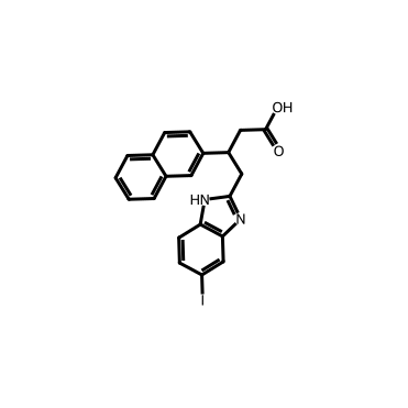 O=C(O)CC(Cc1nc2cc(I)ccc2[nH]1)c1ccc2ccccc2c1